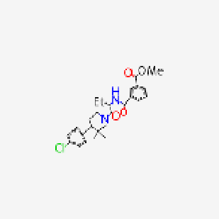 CC[C@@H](NC(=O)c1cccc(C(=O)OC)c1)C(=O)N1CCC(c2ccc(Cl)cc2)C(C)(C)C1